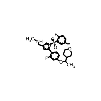 CNCc1cc(-c2ccc(OC(C)C3CCOCC3)cc2F)n(S(=O)(=O)c2cc(F)ccc2F)c1